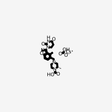 Cc1c(CN2CCN(C(=O)O)[C@@H](C)C2)ccc2onc(N3CCC(=O)NC3=O)c12.O=C([O-])O.[Cs+]